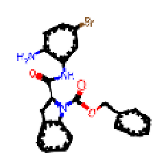 Nc1ccc(Br)cc1NC(=O)[C@@H]1Cc2ccccc2N1C(=O)OCc1ccccc1